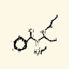 CCCNC(CC)NC(Cl)c1ccccc1.CN